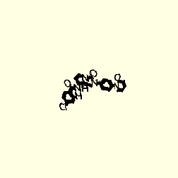 O=C(N[C@@H]1CCN2C(=O)N(c3ccc(-n4ccccc4=O)cc3)C[C@@H]12)c1ccc(Cl)cc1